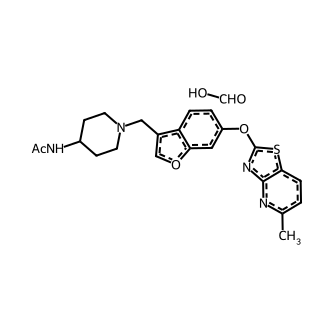 CC(=O)NC1CCN(Cc2coc3cc(Oc4nc5nc(C)ccc5s4)ccc23)CC1.O=CO